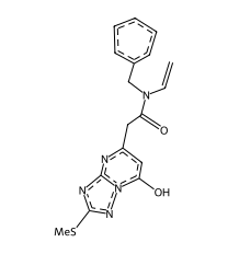 C=CN(Cc1ccccc1)C(=O)Cc1cc(O)n2nc(SC)nc2n1